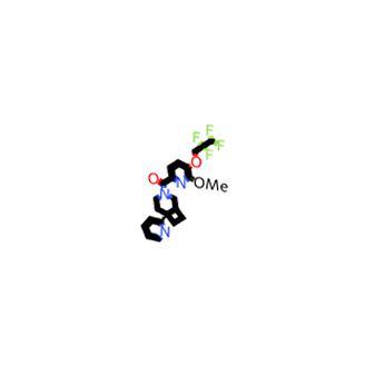 COc1nc(C(=O)N2CC[C@@]3(c4ccccn4)CCC3C2)ccc1OCC(F)(F)C(F)F